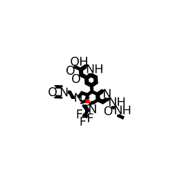 CCNC(=O)Nc1cc(-c2nc(C(F)(F)F)cs2)c(C(c2ccc3[nH]cc(C(=O)O)c(=O)c3c2)C2CCN(CCN3CCOCC3)C2)cn1